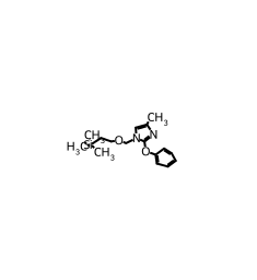 Cc1cn(COCC[Si](C)(C)C)c(Oc2ccccc2)n1